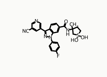 CC1(NC(=O)c2ccc3c(-c4cncc(C#N)c4)nn(-c4ccc(F)cc4)c3c2)CCS(O)(O)C1